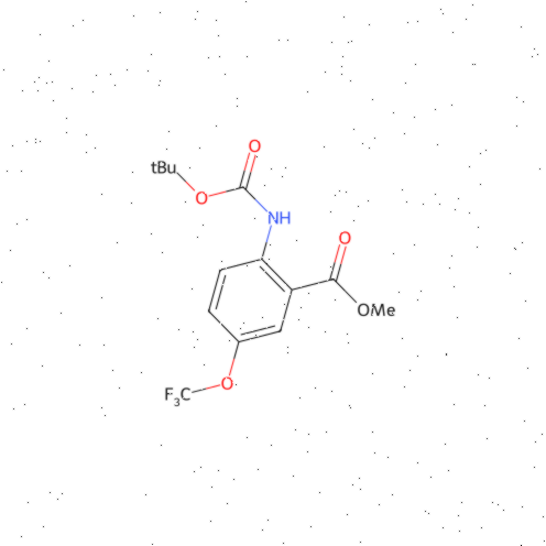 COC(=O)c1cc(OC(F)(F)F)ccc1NC(=O)OC(C)(C)C